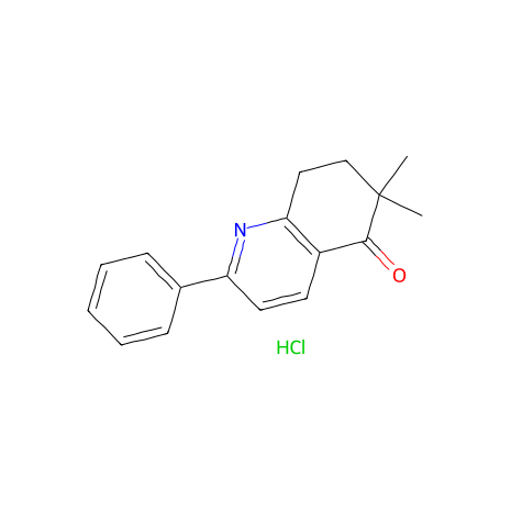 CC1(C)CCc2nc(-c3ccccc3)ccc2C1=O.Cl